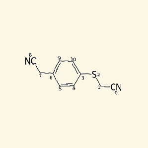 N#CCSc1ccc(CC#N)cc1